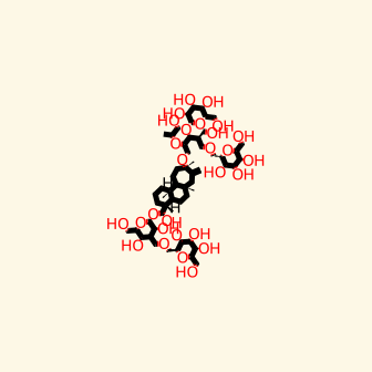 C=C1C[C@@]2(C)CC[C@H]3[C@@](C)(CCC[C@@]3(C)C(=O)O[C@@H]3OC(CO)[C@@H](O)C(COC[C@@H]4OC(CO)[C@@H](O)C(O)[C@@H]4O)[C@@H]3O)[C@@H]2CC[C@@]1(C)OCC(OC(C)CO)[C@@H](OC1OC(CO)[C@@H](O)[C@@H](O)[C@@H]1O)[C@@H](CO)COC[C@@H]1OC(CO)[C@@H](O)C(O)[C@@H]1O